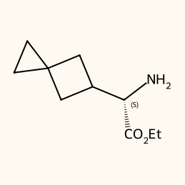 CCOC(=O)[C@@H](N)C1CC2(CC2)C1